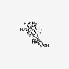 Cc1ccc(S(=O)(=O)N[C@H]2CC[C@H](O)CC2)cc1-c1cnc2c(N)nc(-c3c(C)noc3C)cn12